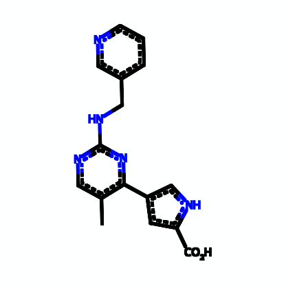 Cc1cnc(NCc2cccnc2)nc1-c1c[nH]c(C(=O)O)c1